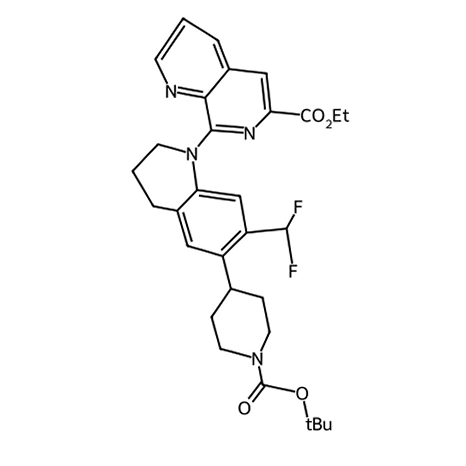 CCOC(=O)c1cc2cccnc2c(N2CCCc3cc(C4CCN(C(=O)OC(C)(C)C)CC4)c(C(F)F)cc32)n1